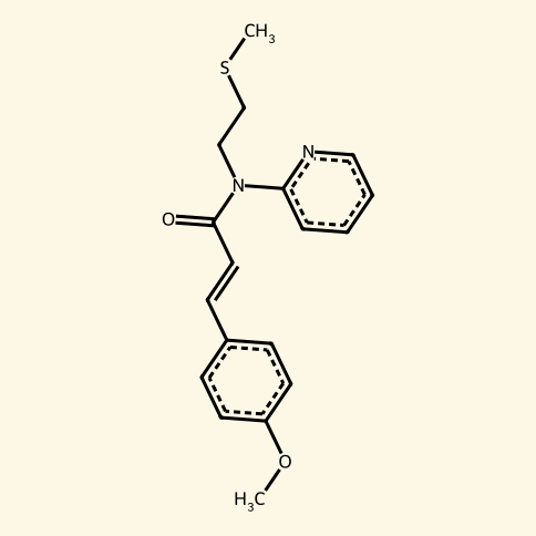 COc1ccc(C=CC(=O)N(CCSC)c2ccccn2)cc1